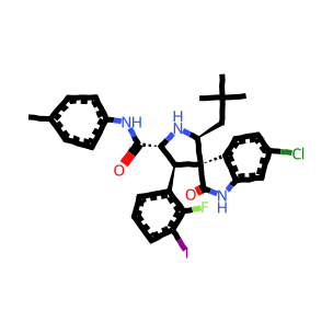 Cc1ccc(NC(=O)[C@@H]2N[C@@H](CC(C)(C)C)[C@@]3(C(=O)Nc4cc(Cl)ccc43)[C@H]2c2cccc(I)c2F)cc1